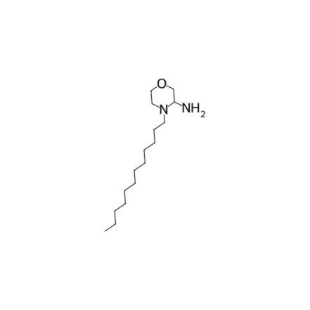 CCCCCCCCCCCCN1CCOCC1N